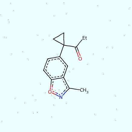 CCC(=O)C1(c2ccc3onc(C)c3c2)CC1